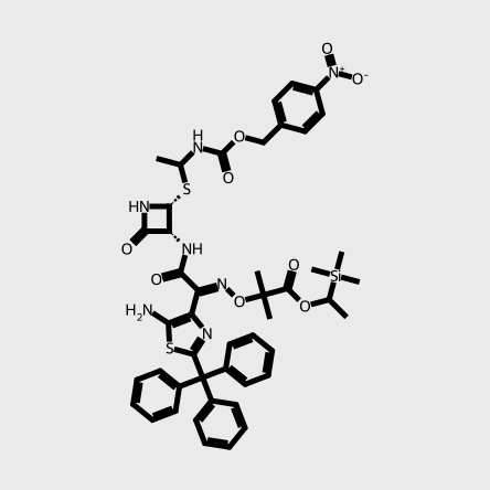 CC(NC(=O)OCc1ccc([N+](=O)[O-])cc1)S[C@H]1NC(=O)[C@H]1NC(=O)C(=NOC(C)(C)C(=O)OC(C)[Si](C)(C)C)c1nc(C(c2ccccc2)(c2ccccc2)c2ccccc2)sc1N